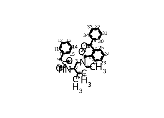 CCN(CC(NS(=O)(=O)Cc1ccccc1)C(C)C)C(=O)c1ccccc1C(=O)c1ccccc1